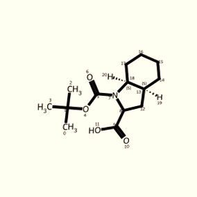 CC(C)(C)OC(=O)N1C(C(=O)O)C[C@@H]2CCCC[C@@H]21